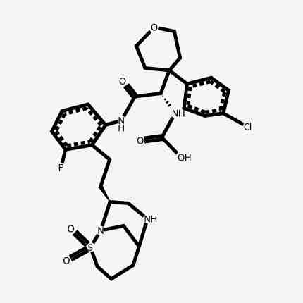 O=C(O)N[C@H](C(=O)Nc1cccc(F)c1CC[C@H]1CNC2CCCS(=O)(=O)N1C2)C1(c2ccc(Cl)cc2)CCOCC1